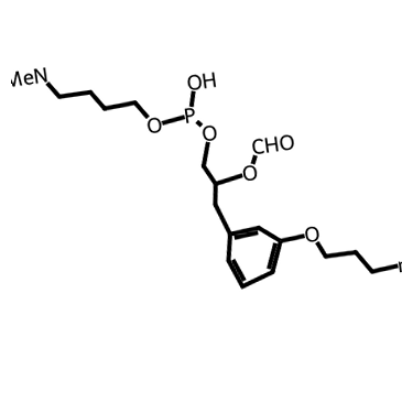 CCCCCCCCCCCCCOc1cccc(CC(COP(O)OCCCCNC)OC=O)c1